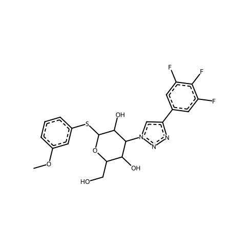 COc1cccc(SC2OC(CO)C(O)C(n3cc(-c4cc(F)c(F)c(F)c4)nn3)C2O)c1